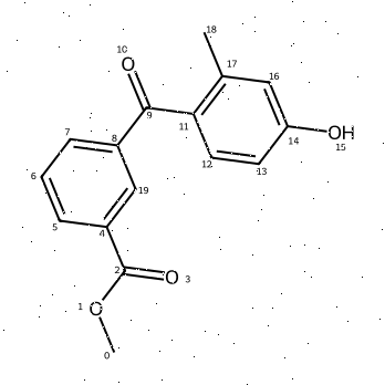 COC(=O)c1cccc(C(=O)c2ccc(O)cc2C)c1